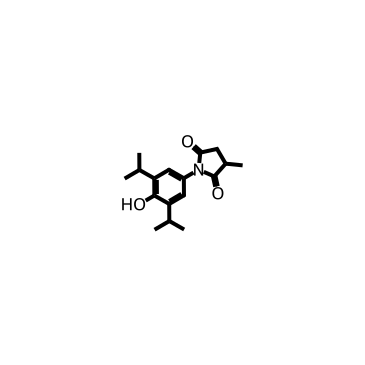 CC1CC(=O)N(c2cc(C(C)C)c(O)c(C(C)C)c2)C1=O